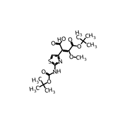 COC(C(=O)OC(C)(C)C)=C(C(=O)O)c1csc(NC(=O)OC(C)(C)C)n1